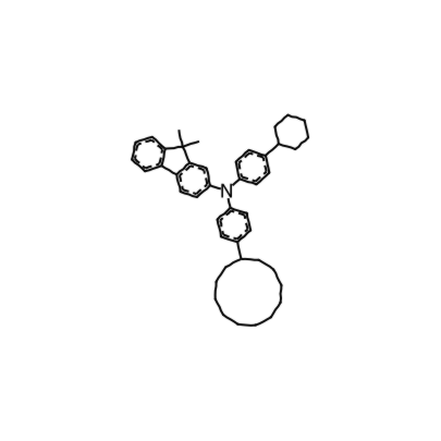 CC1(C)c2ccccc2-c2ccc(N(c3ccc(C4CCCCCCCCCCC4)cc3)c3ccc(C4CCCCC4)cc3)cc21